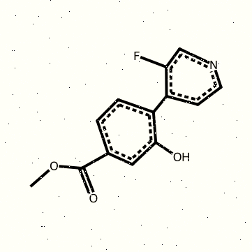 COC(=O)c1ccc(-c2ccncc2F)c(O)c1